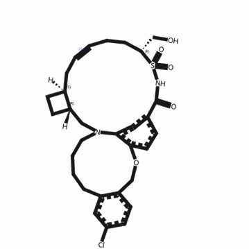 O=C1NS(=O)(=O)[C@@H](CO)CC/C=C\C[C@@H]2CC[C@H]2CN2CCCCc3cc(Cl)ccc3COc3ccc1cc32